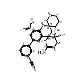 N#Cc1cccc(-c2ccc3c(c2)[C@@]2(C[C@@]4(CCCOC4)O3)OC(N)=NCC2(F)F)c1.O=CO